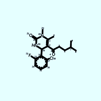 CC1=C(C(=O)CCC(C)C)C(c2c(F)cccc2Cl)NC(=O)N1C